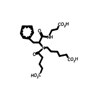 O=C(O)CCCCCN(C(=O)CCCC(=O)O)C(Cc1ccccc1)C(=O)NCCC(=O)O